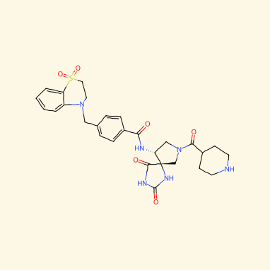 O=C1NC(=O)[C@@]2(CN(C(=O)C3CCNCC3)C[C@H]2NC(=O)c2ccc(CN3CCS(=O)(=O)c4ccccc43)cc2)N1